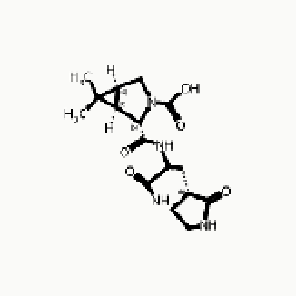 CC1(C)[C@@H]2[C@@H](C(=O)NC(C[C@H]3CCNC3=O)C(N)=O)N(C(=O)O)C[C@@H]21